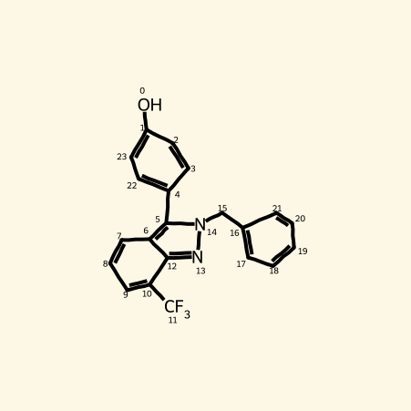 Oc1ccc(-c2c3cccc(C(F)(F)F)c3nn2Cc2ccccc2)cc1